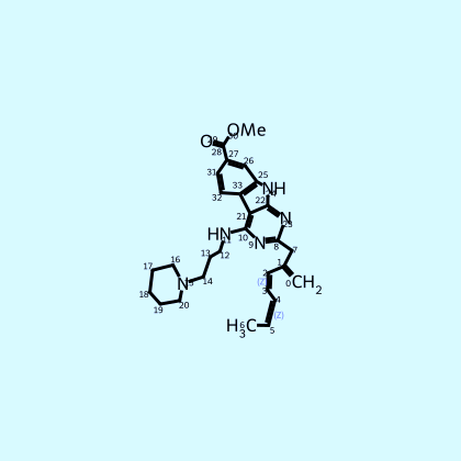 C=C(/C=C\C=C/C)Cc1nc(NCCCN2CCCCC2)c2c(n1)[nH]c1cc(C(=O)OC)ccc12